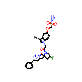 CC(=O)c1cn(CC(=O)N2CC(F)CC2(CCCCc2ccccc2)C(N)=O)c2ccc(OCS(N)(=O)=O)cc12